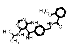 COc1ccccc1C(=O)NCc1ccc(C(=N)c2c(N)ncnc2NC(C)C)cc1